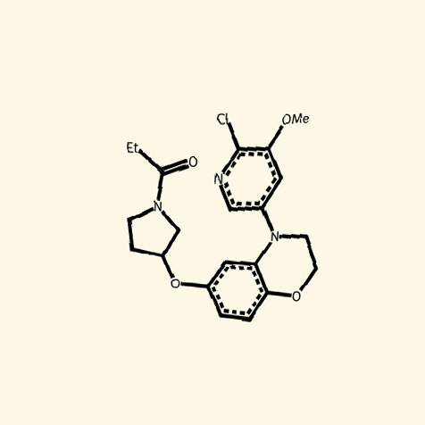 CCC(=O)N1CCC(Oc2ccc3c(c2)N(c2cnc(Cl)c(OC)c2)CCO3)C1